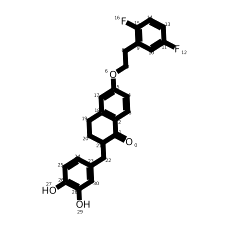 O=C1c2ccc(OCCc3cc(F)ccc3F)cc2CCC1Cc1ccc(O)c(O)c1